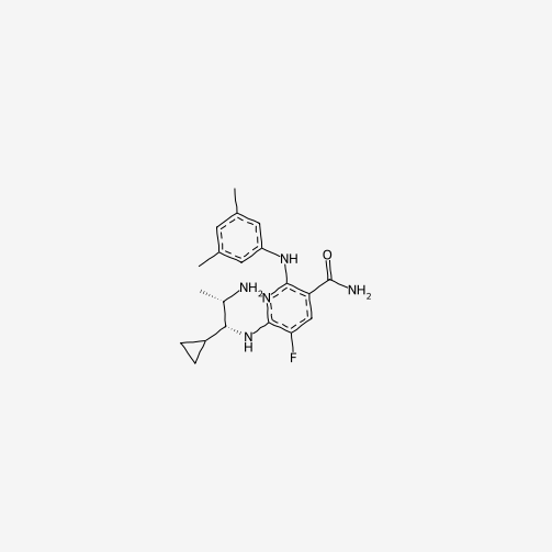 Cc1cc(C)cc(Nc2nc(N[C@H](C3CC3)[C@H](C)N)c(F)cc2C(N)=O)c1